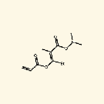 C=CC(=O)OC(CC)=C(C)C(=O)ON(C)C